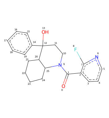 O=C(c1cccnc1F)N1CCC(O)(c2ccccc2)C2CCCCC21